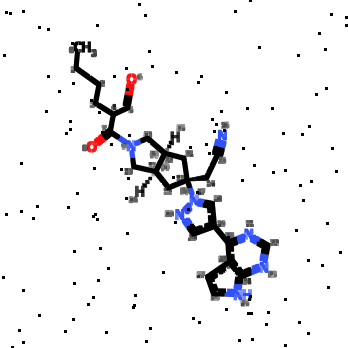 CCCCC(C=O)C(=O)N1C[C@@H]2C[C@@](CC#N)(n3cc(-c4ncnc5[nH]ccc45)cn3)C[C@@H]2C1